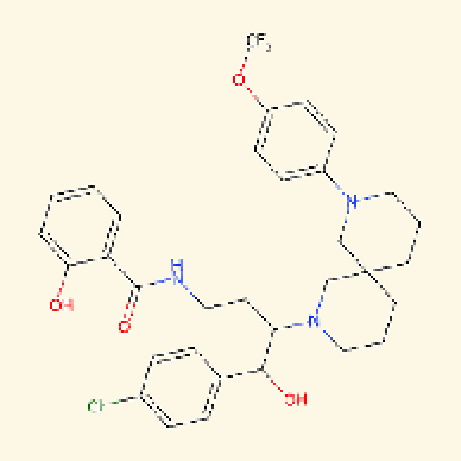 O=C(NCCC(C(O)c1ccc(Cl)cc1)N1CCCC2(CCCN(c3ccc(OC(F)(F)F)cc3)C2)C1)c1ccccc1O